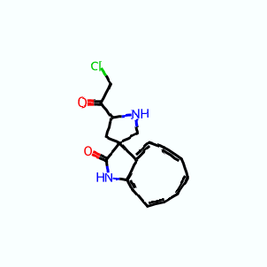 O=C(CCl)C1CC2(CN1)C(=O)Nc1ccccccccc12